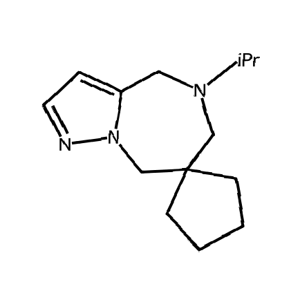 CC(C)N1Cc2ccnn2CC2(CCCC2)C1